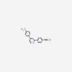 C#Cc1ccc(-c2cc(-c3ccc(C)cc3)ccn2)cc1